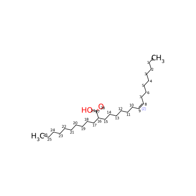 CCCCCCCC/C=C\CCCCCCC(CCCCCCCCCC)C(=O)O